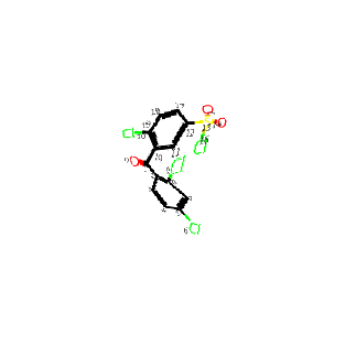 O=C(c1ccc(Cl)cc1Cl)c1cc(S(=O)(=O)Cl)ccc1Cl